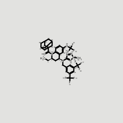 CC[C@@H]1C[C@H](N(Cc2cc(C(F)(F)F)cc(C(F)(F)F)c2)c2nnn(C)n2)c2cc(OC(F)(F)F)ccc2N1C(=O)C12CC3CC(CC(C3)C1)C2